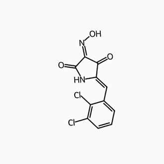 O=C1NC(=Cc2cccc(Cl)c2Cl)C(=O)C1=NO